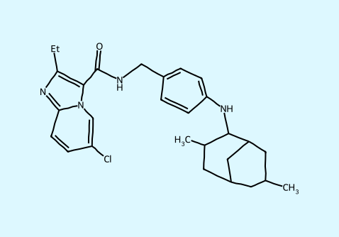 CCc1nc2ccc(Cl)cn2c1C(=O)NCc1ccc(NC2C(C)CC3CC(C)CC2C3)cc1